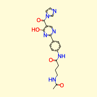 CC(=O)NCCCC(=O)Nc1ccc(-c2ncc(C(=O)n3ccnc3)c(O)n2)cc1